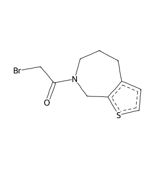 O=C(CBr)N1CCCc2ccsc2C1